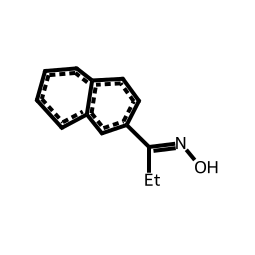 CC/C(=N\O)c1ccc2ccccc2c1